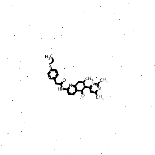 CCSc1ccc(CC(=O)Nc2ccc3c(n2)CC(C)C(c2cc(C)nc(C)n2)C3=O)cc1